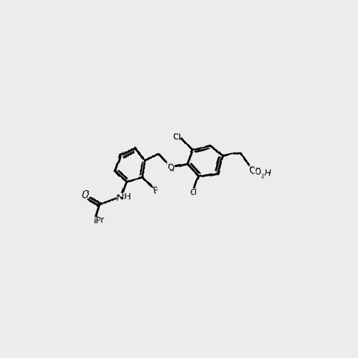 CC(C)C(=O)Nc1cccc(COc2c(Cl)cc(CC(=O)O)cc2Cl)c1F